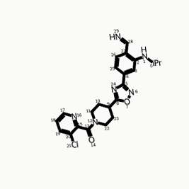 CC(C)Nc1cc(-c2noc(C3CCN(C(=O)c4ncccc4Cl)CC3)n2)ccc1C=N